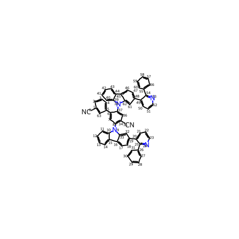 N#Cc1cccc(-c2cc(-n3c4ccccc4c4ccc(-c5cccnc5-c5ccccc5)cc43)c(C#N)cc2-n2c3ccccc3c3ccc(-c4cccnc4-c4ccccc4)cc32)c1